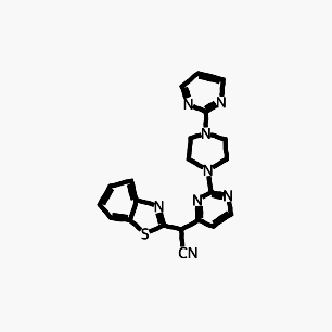 N#CC(c1ccnc(N2CCN(c3ncccn3)CC2)n1)c1nc2ccccc2s1